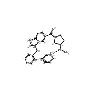 CN(C)[C@@H]1CCN(C(=O)c2ccc3[nH]nc(Cc4ccccc4-c4ccccc4)c3c2)C1